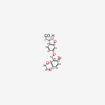 O=C(O)CC1COc2cc(OCc3c(Br)ccc4c3OCCO4)ccc21